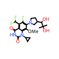 COc1c(N2CCC(C(O)C(C)(C)O)C2)c(F)c(C(F)F)c2c(=O)[nH]c(=O)n(C3CC3)c12